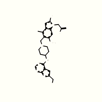 C=C(N)Cn1c(C#N)cc2c(C)c(CN3CCC(Nc4ncnc5sc(CC(F)(F)F)cc45)CC3)c(OC)cc21